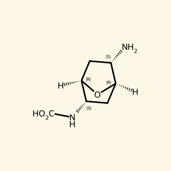 N[C@H]1C[C@H]2O[C@@H]1C[C@@H]2NC(=O)O